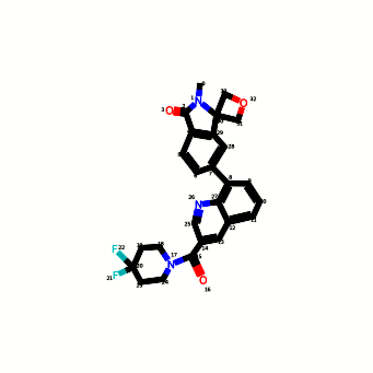 CN1C(=O)c2ccc(-c3cccc4cc(C(=O)N5CCC(F)(F)CC5)cnc34)cc2C12COC2